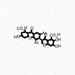 CC(=O)c1cc2c(=O)c3c(C(=O)O)cc(O)cc3oc2c(C(C)=O)c1-c1coc2cc(O)c(O)c(C(=O)O)c2c1=O